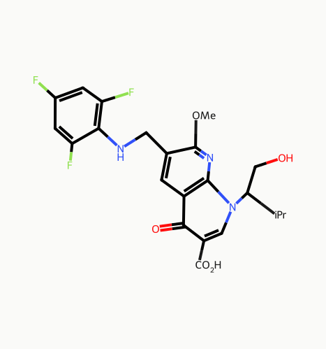 COc1nc2c(cc1CNc1c(F)cc(F)cc1F)c(=O)c(C(=O)O)cn2C(CO)C(C)C